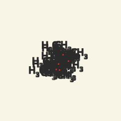 Cc1cc(OC(=O)OC(C)(C)C)c(C(C)(C)C)cc1C(CCCC(c1cc(C(C)(C)C)c(OC(=O)OC(C)(C)C)cc1C)c1cc(C(C)(C)C)c(OC(=O)OC(C)(C)Cc2ccc(C(C)C(C)c3ccccc3)cc2OC(=O)OC(C)(C)C)cc1C)c1cc(C(C)(C)C)c(OC(=O)OC(C)(C)C)cc1C